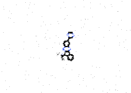 [C-]#[N+]/C(C#N)=C1\c2ccccc2-c2nc3cc(-c4cnccn4)ccc3nc21